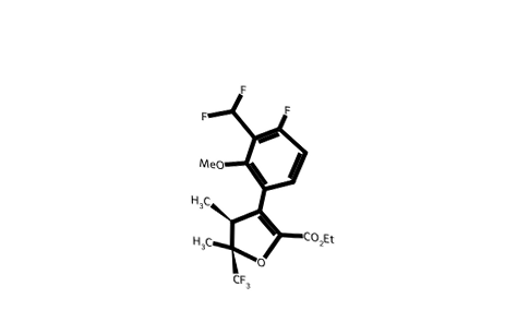 CCOC(=O)C1=C(c2ccc(F)c(C(F)F)c2OC)[C@H](C)[C@](C)(C(F)(F)F)O1